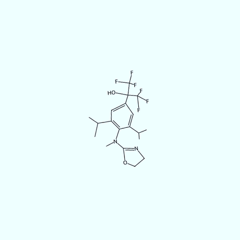 CC(C)c1cc(C(O)(C(F)(F)F)C(F)(F)F)cc(C(C)C)c1N(C)C1=NCCO1